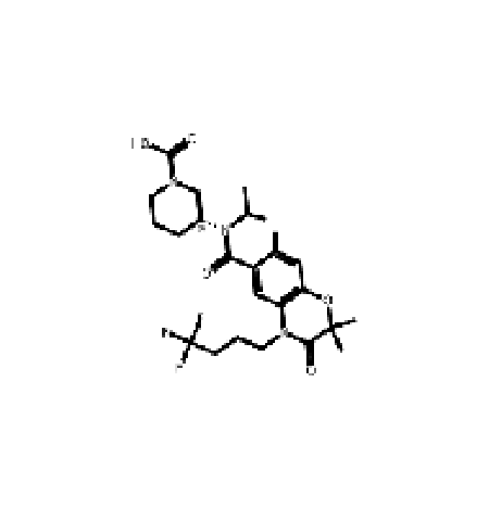 Cc1cc2c(cc1C(=O)N(C(C)C)[C@@H]1CCCN(C(=O)O)C1)N(CCCC(F)(F)F)C(=O)C(C)(C)O2